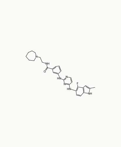 Cc1cc2c(F)c(Nc3ccnc(Nc4cccc(C(=O)NCCN5CCCCCC5)c4)n3)ccc2[nH]1